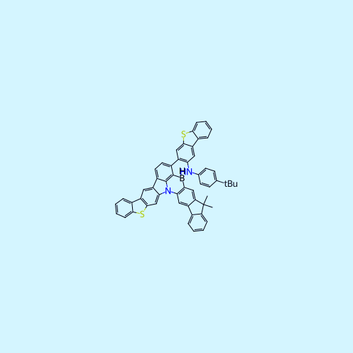 CC(C)(C)c1ccc(Nc2cc3c(cc2-c2ccc4c5cc6c(cc5n5c4c2Bc2cc4c(cc2-5)-c2ccccc2C4(C)C)sc2ccccc26)sc2ccccc23)cc1